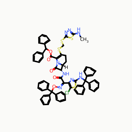 CNc1nnc(SCSC2=C(C(=O)OC(c3ccccc3)c3ccccc3)N3C(=O)[C@@H](NC(=O)/C(=N\OC(c4ccccc4)(c4ccccc4)c4ccccc4)c4nc(NC(c5ccccc5)(c5ccccc5)c5ccccc5)sc4Cl)[C@H]3CC2)s1